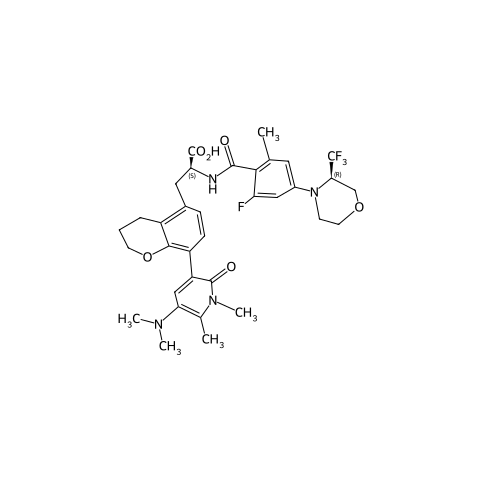 Cc1cc(N2CCOC[C@@H]2C(F)(F)F)cc(F)c1C(=O)N[C@@H](Cc1ccc(-c2cc(N(C)C)c(C)n(C)c2=O)c2c1CCCO2)C(=O)O